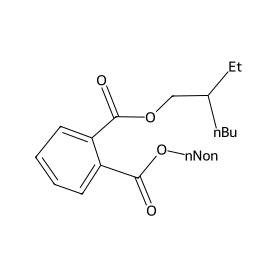 CCCCCCCCCOC(=O)c1ccccc1C(=O)OCC(CC)CCCC